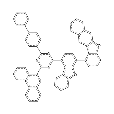 c1ccc(-c2ccc(-c3nc(-c4cc5ccccc5c5ccccc45)nc(-c4ccc(-c5cccc6oc7cc8ccccc8cc7c56)c5oc6ccccc6c45)n3)cc2)cc1